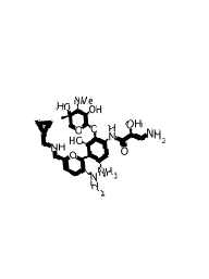 CN[C@@H]1[C@@H](O)[C@@H](O[C@@H]2[C@@H](O)[C@H](C3OC(CNCC4CC4)=CC[C@H]3N)[C@@H](N)C[C@H]2NC(=O)[C@@H](O)CN)OC[C@]1(C)O